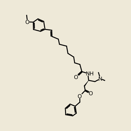 COc1ccc(/C=C/CCCCCCCC(=O)N[C@H](CC(=O)OCc2ccccc2)CN(C)C)cc1